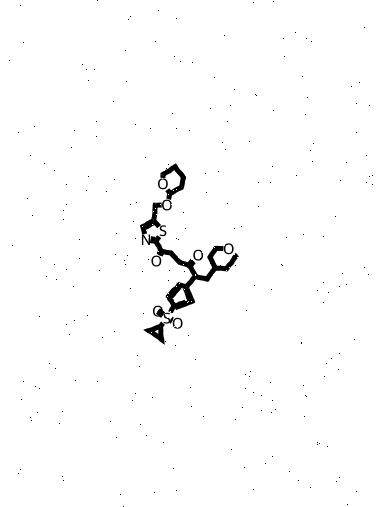 O=C(CCC(=O)C(CC1CCOCC1)c1ccc(S(=O)(=O)C2CC2)cc1)c1ncc(COC2CCCCO2)s1